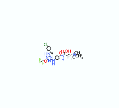 C[N+](C)(C)CCCCC(NC(=O)c1ccc(Nc2nc(NC3(c4ccc(Cl)cc4)CC3)nc(OCC(F)(F)F)n2)cc1)C(=O)O